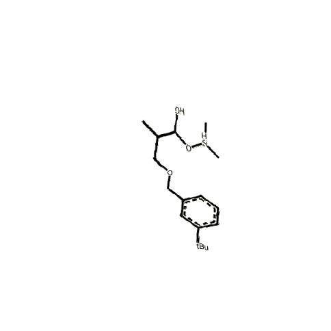 CC(COCc1cccc(C(C)(C)C)c1)C(O)O[SiH](C)C